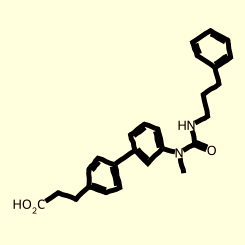 CN(C(=O)NCCCc1ccccc1)c1cccc(-c2ccc(CCC(=O)O)cc2)c1